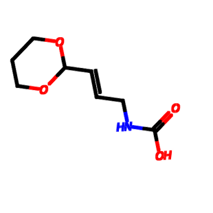 O=C(O)NCC=CC1OCCCO1